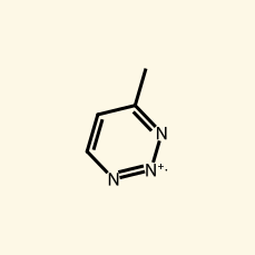 CC1=N[N+]=NC=C1